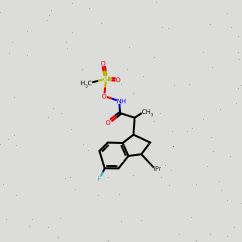 CC(C)C1CC(C(C)C(=O)NOS(C)(=O)=O)c2ccc(F)cc21